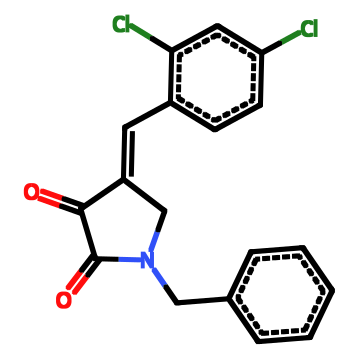 O=C1C(=O)N(Cc2ccccc2)CC1=Cc1ccc(Cl)cc1Cl